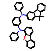 CC1(C)c2ccccc2-c2cc(N(c3ccccc3)c3cccc(N(c4ccccc4)c4cccc5c4oc4ccccc45)c3)ccc21